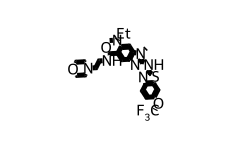 CCN(C)c1cc2c(cc1C(=O)NCCN1CCOCC1)nc(Nc1nc3ccc(OC(F)(F)F)cc3s1)n2C